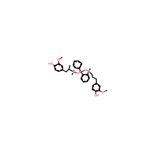 COc1cc(CCC[Si](C)(C)O[Si](O[Si](C)(C)C(C)Cc2ccc(O)c(OC)c2)(c2ccccc2)c2ccccc2)ccc1O